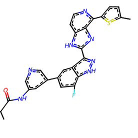 Cc1ccc(-c2nccc3[nH]c(-c4n[nH]c5c(F)cc(-c6cncc(NC(=O)C(C)C)c6)cc45)nc23)s1